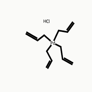 C=C[CH2][Pd]([CH2]C=C)([CH2]C=C)[CH2]C=C.Cl